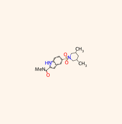 CNC(=O)c1cc2cc(S(=O)(=O)N3CC(C)CC(C)C3)ccc2[nH]1